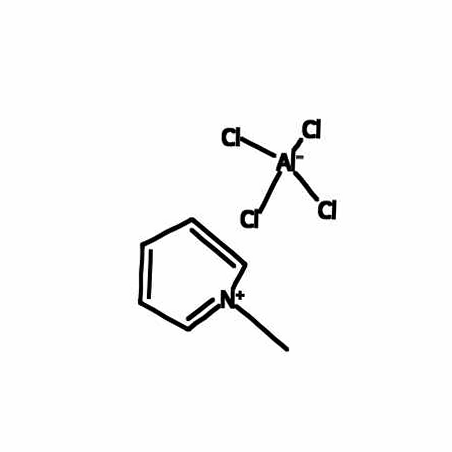 C[n+]1ccccc1.[Cl][Al-]([Cl])([Cl])[Cl]